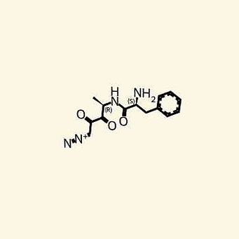 C[C@@H](NC(=O)[C@@H](N)Cc1ccccc1)C(=O)C(=O)C=[N+]=[N-]